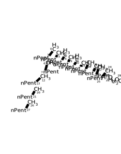 CCCCCC.CCCCCC.CCCCCC.CCCCCC.CCCCCC.CCCCCC.CCCCCC.CCCCCC.CCCCCC.CCCCCC.CCCCCC.CCCCCC.CCCCCC.CCCCCC.O.O.O